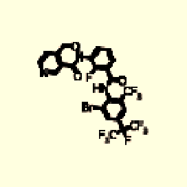 O=C(Nc1c(Br)cc(C(F)(C(F)(F)F)C(F)(F)F)cc1C(F)(F)F)c1cccc(N2OCc3ccncc3C2=O)c1F